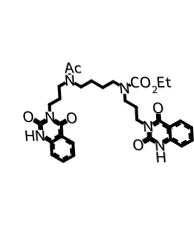 CCOC(=O)N(CCCCN(CCCn1c(=O)[nH]c2ccccc2c1=O)C(C)=O)CCCn1c(=O)[nH]c2ccccc2c1=O